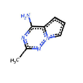 Cc1nc(N)c2cccn2n1